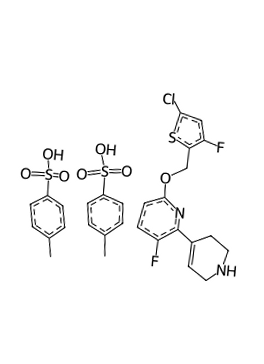 Cc1ccc(S(=O)(=O)O)cc1.Cc1ccc(S(=O)(=O)O)cc1.Fc1ccc(OCc2sc(Cl)cc2F)nc1C1=CCNCC1